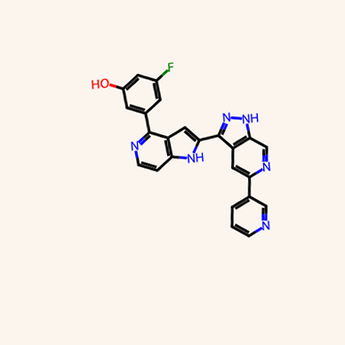 Oc1cc(F)cc(-c2nccc3[nH]c(-c4n[nH]c5cnc(-c6cccnc6)cc45)cc23)c1